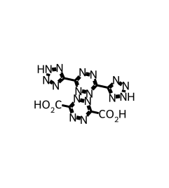 O=C(O)c1nnc(C(=O)O)nn1.n1nc(-c2nnc(-c3nn[nH]n3)nn2)n[nH]1